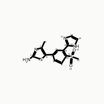 Cc1nc(N)sc1-c1ccc(S(C)(=O)=O)c(-c2ncc[nH]2)c1